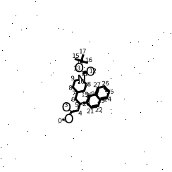 COC(=O)CC(CC1CCN(C(=O)OC(C)(C)C)CC1)c1ccc2ccccc2c1